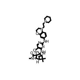 CNC(=O)[C@H]1C[C@H]2C[C@H](C2(C)C)[C@@]1(C)Nc1nc(Nc2ccc3c(c2)OCCN3CCN2CCCCC2)ncc1Cl